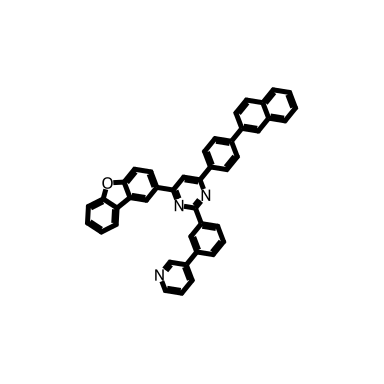 c1cncc(-c2cccc(-c3nc(-c4ccc(-c5ccc6ccccc6c5)cc4)cc(-c4ccc5oc6ccccc6c5c4)n3)c2)c1